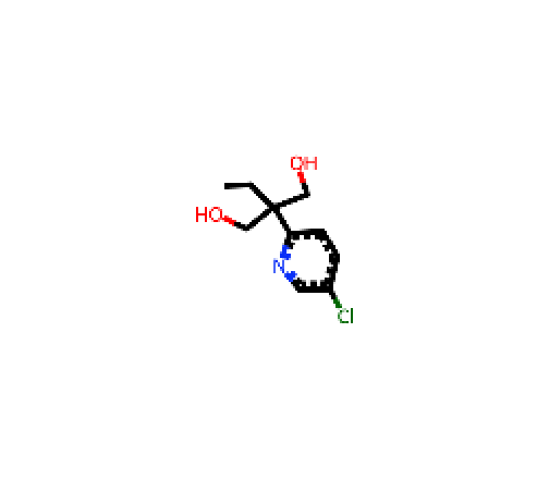 CCC(CO)(CO)c1ccc(Cl)cn1